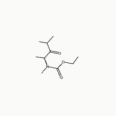 CCOC(=O)N(C)C(C)C(=O)C(C)C